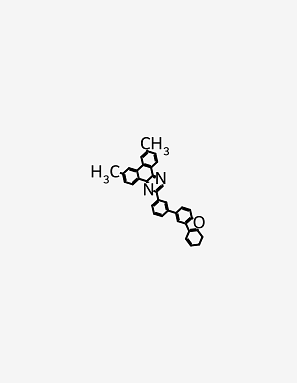 Cc1ccc2c(c1)c1cc(C)ccc1c1nc(-c3cccc(-c4ccc5oc6c(c5c4)C=CCC6)c3)cnc21